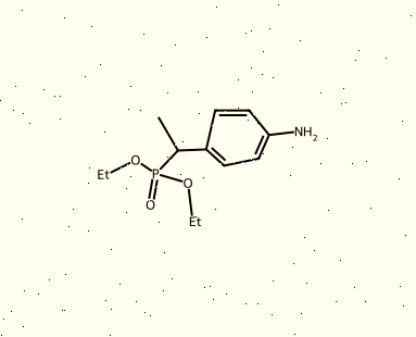 CCOP(=O)(OCC)C(C)c1ccc(N)cc1